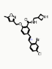 Cc1cc(COc2ccc(/C=C/c3ccc(Cl)cc3Br)cc2C(=O)NCC2CNC2)no1